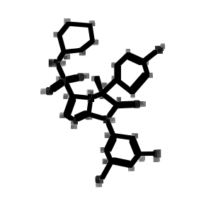 C[C@@]1(c2ccc(Br)cc2)C(=O)N(c2cc(Cl)cc(Cl)c2)c2ncc(S(=O)(=O)NC3CCCCC3)n21